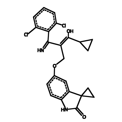 N=C(/C(COc1ccc2c(c1)C1(CC1)C(=O)N2)=C(\O)C1CC1)c1c(Cl)cccc1Cl